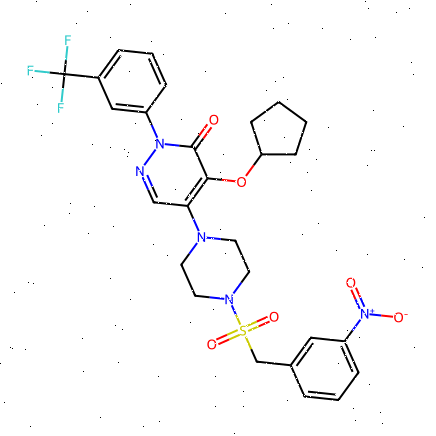 O=c1c(OC2CCCC2)c(N2CCN(S(=O)(=O)Cc3cccc([N+](=O)[O-])c3)CC2)cnn1-c1cccc(C(F)(F)F)c1